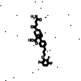 NC(=O)CCC(=O)N1CC2CC(c3ccc(CCCOc4c(F)ccc(F)c4F)cc3)=C(C(=O)O)C(C1)N2